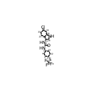 O=C(Nc1ccc(SC(F)(F)F)cc1)Nc1c[nH]c2cc(Cl)ccc12